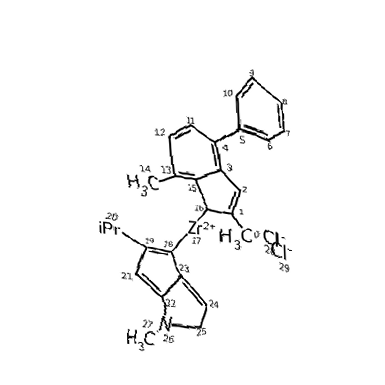 CC1=Cc2c(-c3ccccc3)ccc(C)c2[CH]1[Zr+2][C]1=C(C(C)C)C=C2C1=CCN2C.[Cl-].[Cl-]